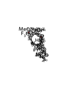 CO[C@@H](C)C1=C(c2c3c4cc(ccc4n2CC(F)(F)F)-c2csc(n2)C[C@H](NC(=O)[C@H](C(C)C)N2CCOC4(CN(C(=O)[C@H]5[C@@H](C6CC6)N5CC(=O)N(C)C)C4)C2)C(=O)N2CCC[C@H](N2)C(=O)OCC(C)(C)C3)CC(N2CCN(C3CC3)CC2)C=N1